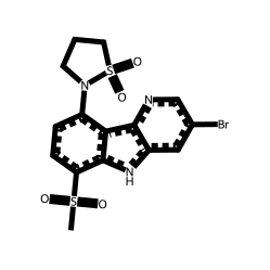 CS(=O)(=O)c1ccc(N2CCCS2(=O)=O)c2c1[nH]c1cc(Br)cnc12